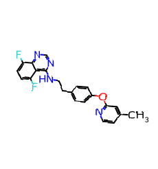 Cc1ccnc(Oc2ccc(CCNc3ncnc4c(F)ccc(F)c34)cc2)c1